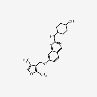 Cc1noc(C)c1COc1ccc2cnc(NC3CCC(O)CC3)nc2c1